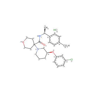 C[C@H](NC(=O)C1(N2CCC[C@H](Oc3cccc(Cl)c3)C2)CCOCC1)c1ccc(C(=O)O)cc1.Cl